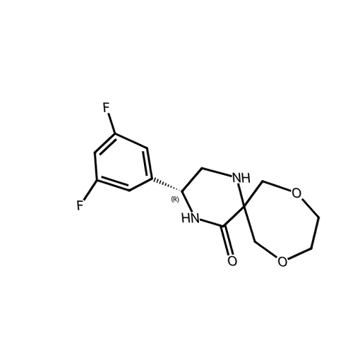 O=C1N[C@H](c2cc(F)cc(F)c2)CNC12COCCOC2